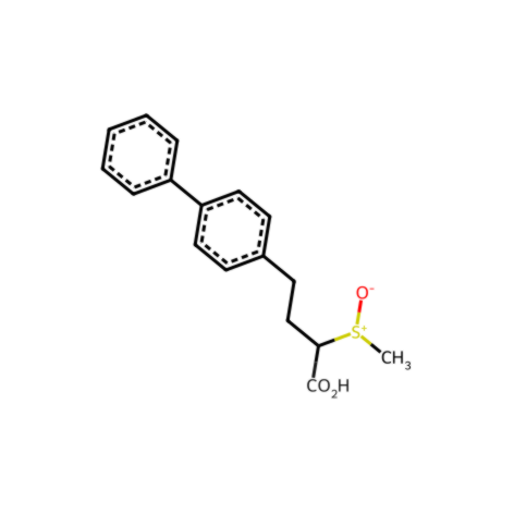 C[S+]([O-])C(CCc1ccc(-c2ccccc2)cc1)C(=O)O